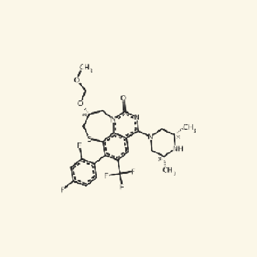 COCO[C@H]1CSc2c(-c3ccc(F)cc3F)c(C(F)(F)F)cc3c(N4C[C@@H](C)N[C@@H](C)C4)nc(=O)n(c23)C1